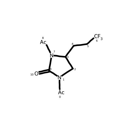 CC(=O)N1CC(CCC(F)(F)F)N(C(C)=O)C1=O